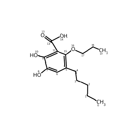 CCCCCc1cc(O)c(O)c(C(=O)O)c1OCCC